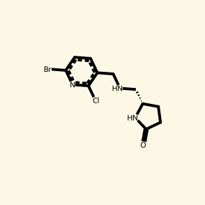 O=C1CC[C@@H](CNCc2ccc(Br)nc2Cl)N1